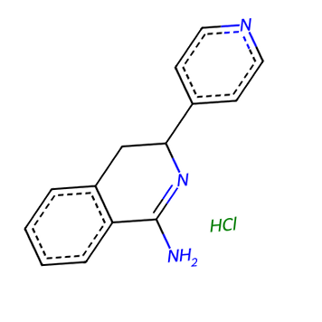 Cl.NC1=NC(c2ccncc2)Cc2ccccc21